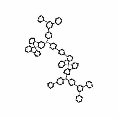 c1ccc(-c2ccc(N(c3ccc(-c4cc(-c5ccccc5)cc(-c5ccccc5)c4)cc3)c3ccc4c(c3)-c3ccccc3C43c4ccccc4-c4c(-c5ccc(-c6ccc(N(c7ccc(-c8cc(-c9ccccc9)cc(-c9ccccc9)c8)cc7)c7ccc8c(c7)-c7ccccc7C87c8ccccc8-c8ccccc87)cc6)cc5)cccc43)cc2)cc1